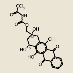 O=C(NC(=O)C(Cl)(Cl)Cl)OC[C@]1(O)Cc2c(O)c3c(c(O)c2[C@@H](O)C1)C(=O)c1ccccc1C3=O